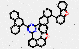 C1=c2cccc(-c3cccc4oc5ccccc5c34)c2=CCC1c1nc(-c2cc3ccccc3c3ccccc23)nc(-c2cccc3ccc4oc5ccccc5c4c23)n1